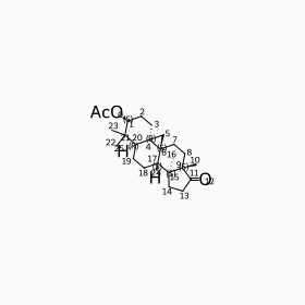 CC(=O)O[C@H]1CC[C@]23C[C@]24CC[C@]2(C)C(=O)CC[C@@]2(C)[C@@H]4CC[C@H]3C1(C)C